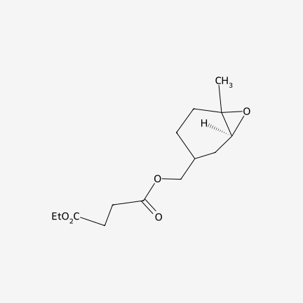 CCOC(=O)CCC(=O)OCC1CCC2(C)O[C@H]2C1